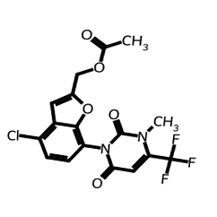 CC(=O)OCc1cc2c(Cl)ccc(-n3c(=O)cc(C(F)(F)F)n(C)c3=O)c2o1